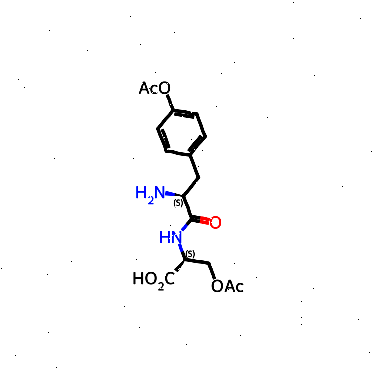 CC(=O)OC[C@H](NC(=O)[C@@H](N)Cc1ccc(OC(C)=O)cc1)C(=O)O